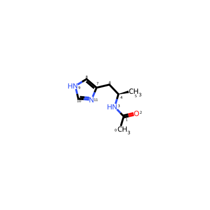 CC(=O)N[C@H](C)Cc1c[nH]cn1